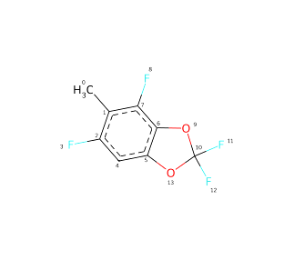 Cc1c(F)cc2c(c1F)OC(F)(F)O2